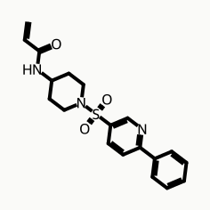 C=CC(=O)NC1CCN(S(=O)(=O)c2ccc(-c3ccccc3)nc2)CC1